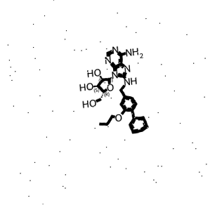 CCCOc1cc(CNc2nc3c(N)ncnc3n2[C@@H]2O[C@H](CO)[C@@H](O)[C@H]2O)ccc1-c1ccccc1